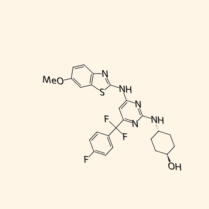 COc1ccc2nc(Nc3cc(C(F)(F)c4ccc(F)cc4)nc(N[C@H]4CC[C@H](O)CC4)n3)sc2c1